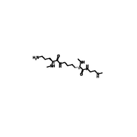 CNCCNC(=O)[C@H](CCCCNC(=O)[C@H](CCCN)NC)NC